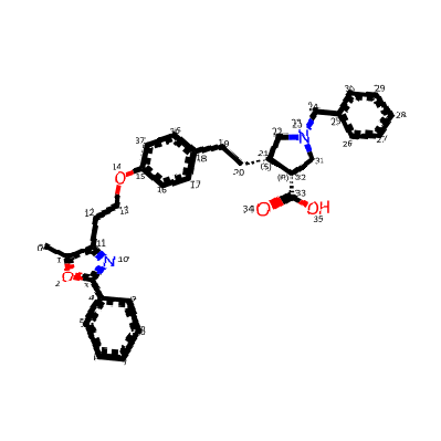 Cc1oc(-c2ccccc2)nc1CCOc1ccc(CC[C@@H]2CN(Cc3ccccc3)C[C@@H]2C(=O)O)cc1